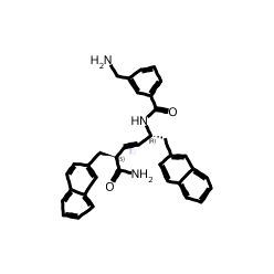 NCc1cccc(C(=O)N[C@@H](/C=C/[C@H](Cc2ccc3ccccc3c2)C(N)=O)Cc2ccc3ccccc3c2)c1